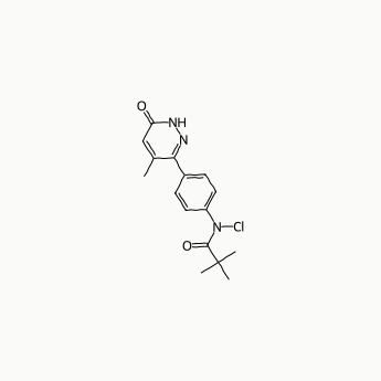 Cc1cc(=O)[nH]nc1-c1ccc(N(Cl)C(=O)C(C)(C)C)cc1